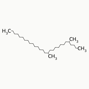 CCCCCCCCCCCCCCCC(C)CCCCCCCC(C)CCCC